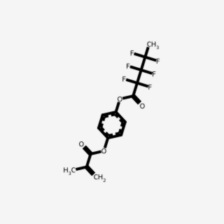 C=C(C)C(=O)Oc1ccc(OC(=O)C(F)(F)C(F)(F)C(C)(F)F)cc1